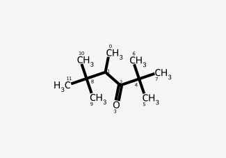 CC(C(=O)C(C)(C)C)C(C)(C)C